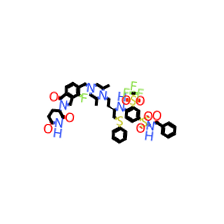 CC1CN(Cc2ccc3c(c2F)CN(C2CCC(=O)NC2=O)C3=O)CC(C)N1CC[C@H](CSc1ccccc1)Nc1ccc(S(=O)(=O)NC(=O)c2ccccc2)cc1S(=O)(=O)C(F)(F)F